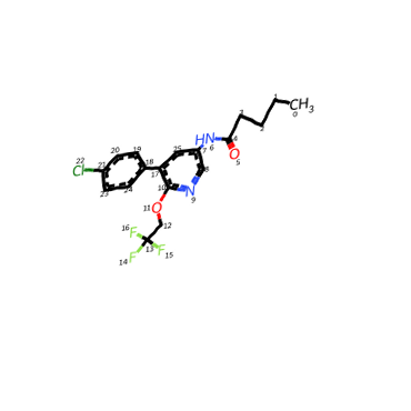 CCCCC(=O)Nc1cnc(OCC(F)(F)F)c(-c2ccc(Cl)cc2)c1